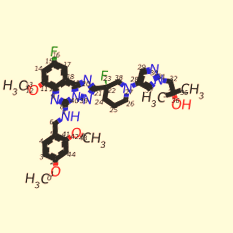 COc1ccc(CNc2nc3c(OC)cc(F)cc3c3nc([C@]4(F)CCCN(c5cnn(CC(C)(C)O)c5)C4)nn23)c(OC)c1